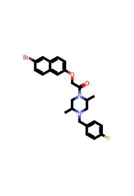 CC1CN(C(=O)COc2ccc3cc(Br)ccc3c2)C(C)CN1Cc1ccc(F)cc1